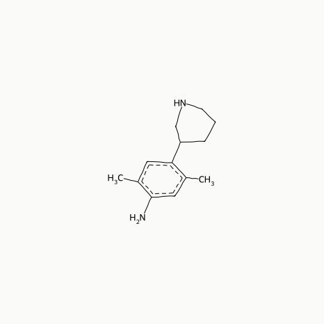 Cc1cc(C2CCCNC2)c(C)cc1N